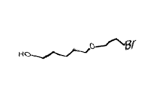 OCCCCCOCCBr